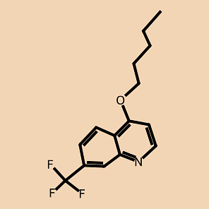 CCCCCOc1ccnc2cc(C(F)(F)F)ccc12